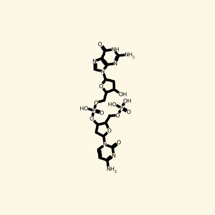 Nc1ccn(C2CC(OP(=O)(O)OCC3OC(n4cnc5c(=O)[nH]c(N)nc54)CC3O)C(COP(=O)(O)O)O2)c(=O)n1